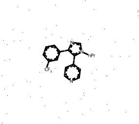 CCCn1[c]nc(-c2cccc(C(F)(F)F)c2)c1-c1ccncc1